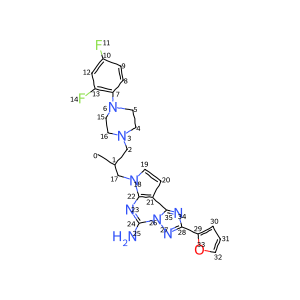 CC(CN1CCN(c2ccc(F)cc2F)CC1)Cn1ccc2c1nc(N)n1nc(-c3ccco3)nc21